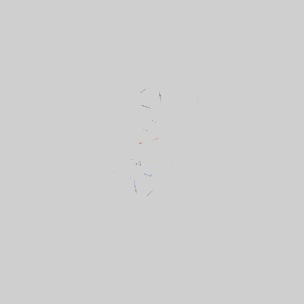 COc1cccc(OC)c1NNS(=O)(=O)[C@@H](C)[C@H](OC)c1ncc(Cl)cn1